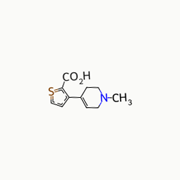 CN1CC=C(c2ccsc2C(=O)O)CC1